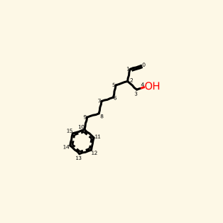 C=CC(CO)CCCCCc1ccccc1